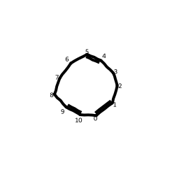 C1=CCCC=CCCCC=C1